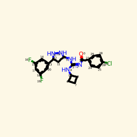 O=C(/N=C(/NC1CCC1)NC1CC(c2cc(F)cc(F)c2)NN1)c1ccc(Cl)cc1